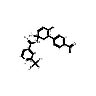 CC(=O)c1ccc(C2=C(C)C=CC(O)(NC(=O)c3ccnc(C(F)(F)F)c3)C2)cc1